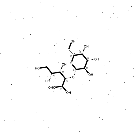 O=C[C@H](O)[C@@H](O[C@@H]1O[C@H](CO)[C@H](O)[C@H](O)[C@H]1O)[C@@H](O)[C@H](O)CO